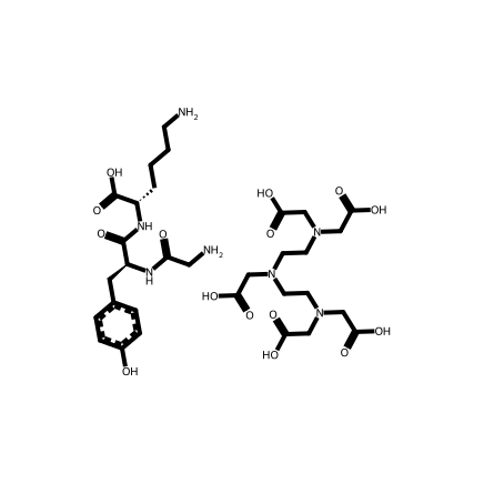 NCCCC[C@H](NC(=O)[C@H](Cc1ccc(O)cc1)NC(=O)CN)C(=O)O.O=C(O)CN(CCN(CC(=O)O)CC(=O)O)CCN(CC(=O)O)CC(=O)O